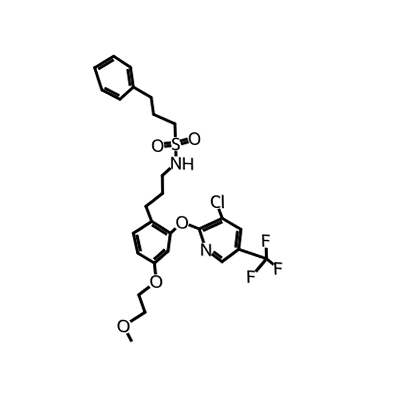 COCCOc1ccc(CCCNS(=O)(=O)CCCc2ccccc2)c(Oc2ncc(C(F)(F)F)cc2Cl)c1